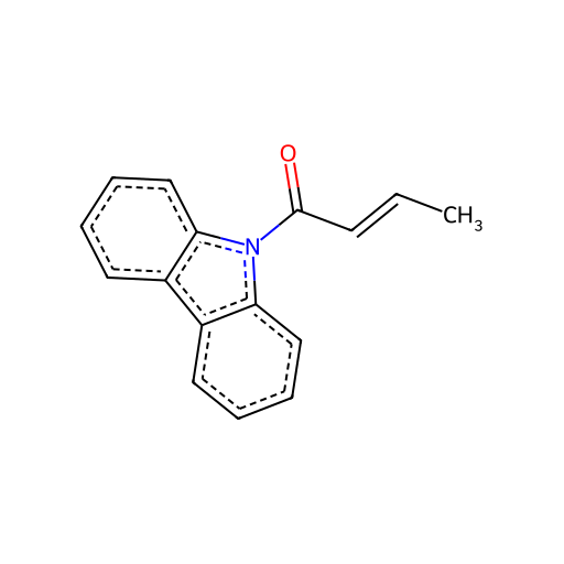 CC=CC(=O)n1c2ccccc2c2ccccc21